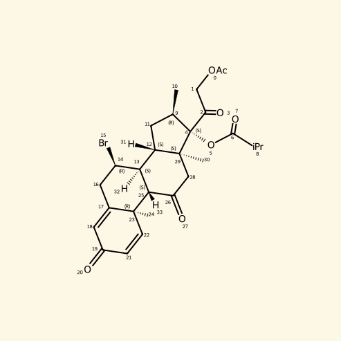 CC(=O)OCC(=O)[C@]1(OC(=O)C(C)C)[C@H](C)C[C@H]2[C@@H]3[C@H](Br)CC4=CC(=O)C=C[C@]4(C)[C@H]3C(=O)C[C@@]21C